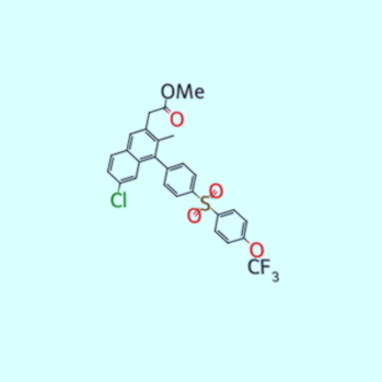 COC(=O)Cc1cc2ccc(Cl)cc2c(-c2ccc(S(=O)(=O)c3ccc(OC(F)(F)F)cc3)cc2)c1C